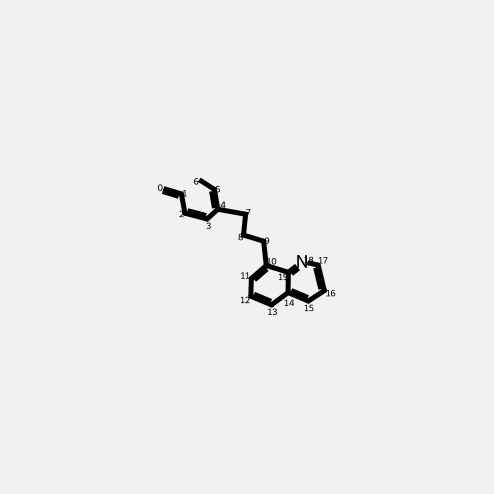 C=C/C=C\C(=C/C)CCCc1cccc2cccnc12